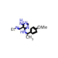 CC/N=C/c1c(N)ncnc1N[C@@H](C)c1ccc(OC)cc1